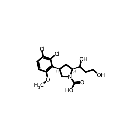 COc1ccc(Cl)c(Cl)c1[C@H]1C[C@@H](C(O)CCO)N(C(=O)O)C1